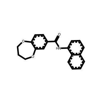 O=C(Nc1cccc2ccccc12)c1ccc2c(c1)OCCCO2